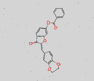 O=C(Oc1ccc2c(c1)OC(=Cc1ccc3c(c1)OCCO3)C2=O)c1ccccc1